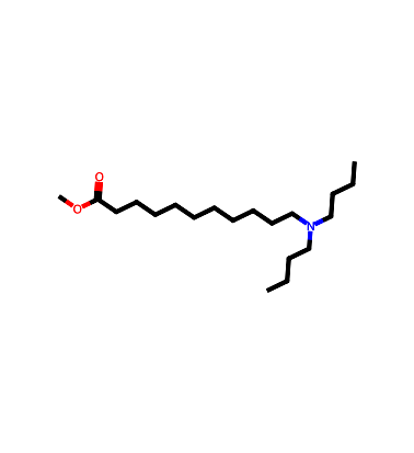 CCCCN(CCCC)CCCCCCCCCCC(=O)OC